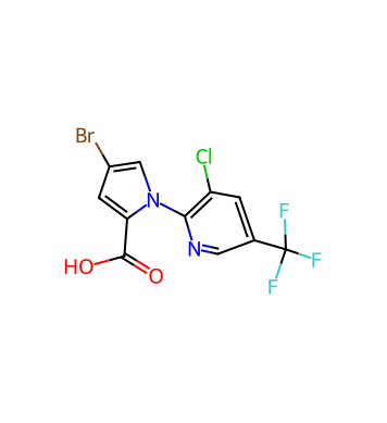 O=C(O)c1cc(Br)cn1-c1ncc(C(F)(F)F)cc1Cl